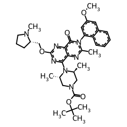 COc1cc(-n2c(C)nc3c(N4[C@@H](C)CN(C(=O)OC(C)(C)C)C[C@@H]4C)nc(OC[C@@H]4CCCN4C)nc3c2=O)c2ccccc2c1